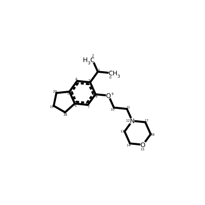 CC(C)c1cc2c(cc1OCCN1CCOCC1)CCC2